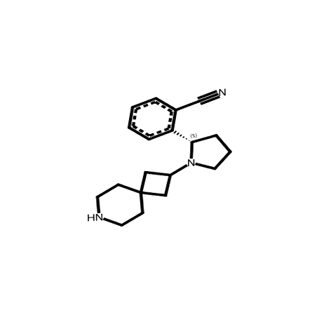 N#Cc1ccccc1[C@@H]1CCCN1C1CC2(CCNCC2)C1